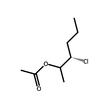 CCC[C@H](Cl)C(C)OC(C)=O